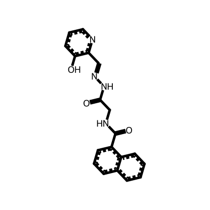 O=C(CNC(=O)c1cccc2ccccc12)NN=Cc1ncccc1O